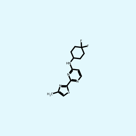 Cc1csc(-c2nccc(NC3CCC(F)(F)CC3)n2)n1